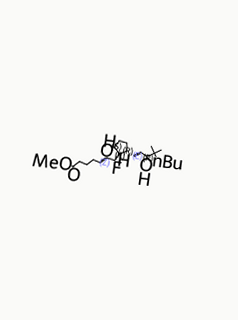 CCCCC(C)(C)[C@H](O)/C=C/[C@H]1CC[C@@H]2O/C(=C\CCCC(=O)OC)C(F)[C@@H]21